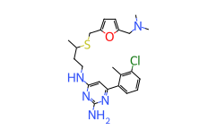 Cc1c(Cl)cccc1-c1cc(NCCC(C)SCc2ccc(CN(C)C)o2)nc(N)n1